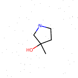 CC1(O)CC[N]C1